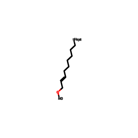 CCCCCCCCCCCCCC=CCON=O